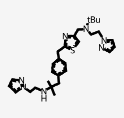 CC(C)(Cc1ccc(Cc2nc(CN(CCn3cccn3)C(C)(C)C)cs2)cc1)NCCn1cccn1